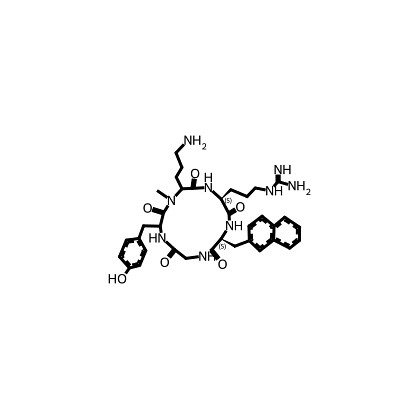 CN1C(=O)C(Cc2ccc(O)cc2)NC(=O)CNC(=O)[C@H](Cc2ccc3ccccc3c2)NC(=O)[C@H](CCCNC(=N)N)NC(=O)C1CCCN